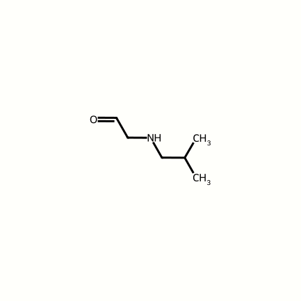 CC(C)CNCC=O